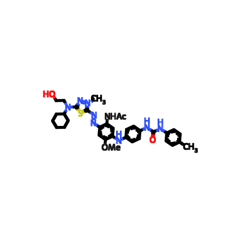 COc1cc(N=Nc2sc(N(CCO)C3CCCCC3)n[n+]2C)c(NC(C)=O)cc1Nc1ccc(NC(=O)Nc2ccc(C)cc2)cc1